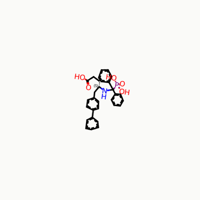 O=C(O)CC[C@@H](Cc1ccc(-c2ccccc2)cc1)NC(c1ccccc1)(c1ccccc1)P(=O)(O)O